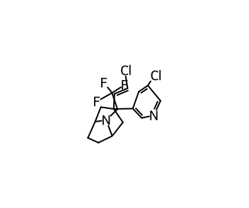 FC(F)(F)CN1C2CCC1CC(C=CCl)(c1cncc(Cl)c1)C2